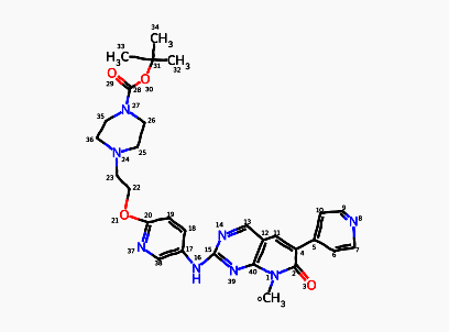 Cn1c(=O)c(-c2ccncc2)cc2cnc(Nc3ccc(OCCN4CCN(C(=O)OC(C)(C)C)CC4)nc3)nc21